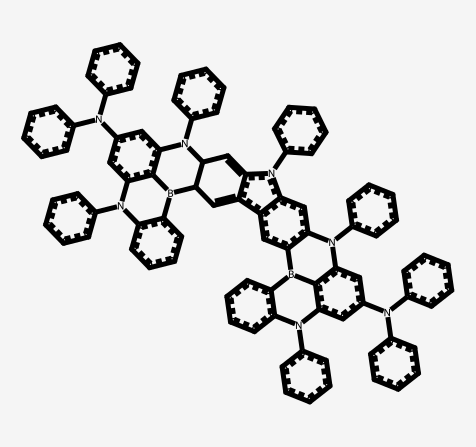 C1=c2c(n(-c3ccccc3)c3cc4c(cc23)B2c3ccccc3N(c3ccccc3)c3cc(N(c5ccccc5)c5ccccc5)cc(c32)N4c2ccccc2)=CC2C1B1c3ccccc3N(c3ccccc3)c3cc(N(c4ccccc4)c4ccccc4)cc(c31)N2c1ccccc1